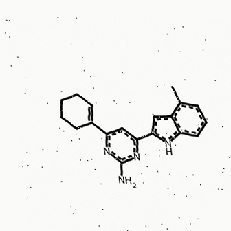 Cc1cccc2[nH]c(-c3cc(C4=CCCCC4)nc(N)n3)cc12